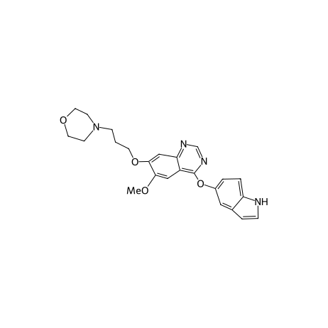 COc1cc2c(Oc3ccc4[nH]ccc4c3)ncnc2cc1OCCCN1CCOCC1